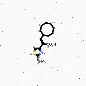 CC(=O)Nc1nc(/C(=C/C2CCCCCCC2)C(=O)O)cs1